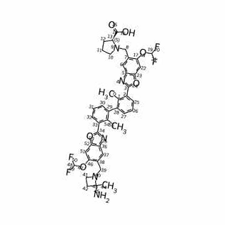 Cc1c(-c2nc3cc(CN4CCC[C@H]4C(=O)O)c(OC(F)F)cc3o2)cccc1-c1cccc(-c2nc3cc(CN4CCC4(C)N)c(OC(F)F)cc3o2)c1C